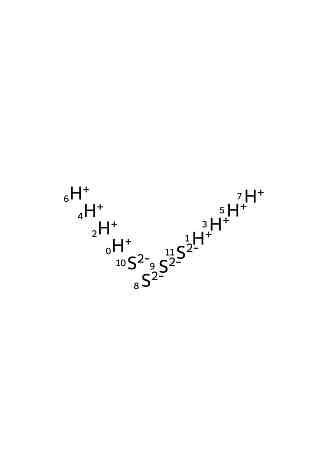 [H+].[H+].[H+].[H+].[H+].[H+].[H+].[H+].[S-2].[S-2].[S-2].[S-2]